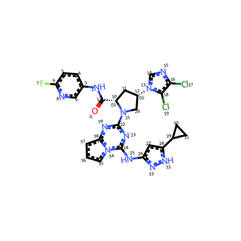 O=C(Nc1ccc(F)nc1)[C@@H]1C[C@H](n2cnc(Cl)c2Cl)CN1c1nc(Nc2cc(C3CC3)[nH]n2)n2cccc2n1